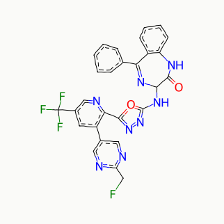 O=C1Nc2ccccc2C(c2ccccc2)=NC1Nc1nnc(-c2ncc(C(F)(F)F)cc2-c2cnc(CF)nc2)o1